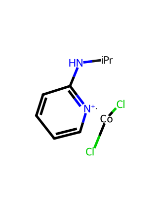 CC(C)NC1=[N+]C=CC=C1.[Cl][Co][Cl]